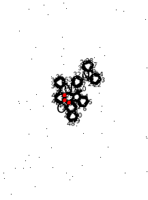 CC1(C)c2ccccc2-c2cccc(N(c3ccc(-n4c5ccccc5c5ccccc54)cc3)c3ccccc3-c3ccc4oc5c6ccccc6ccc5c4c3)c21